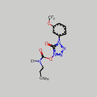 CCN(CCOC)C(=O)On1nnn(-c2cccc(OC(F)(F)F)c2)c1=O